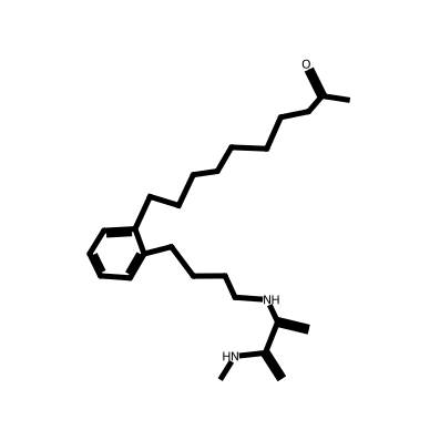 C=C(NC)C(=C)NCCCCc1ccccc1CCCCCCCCC(C)=O